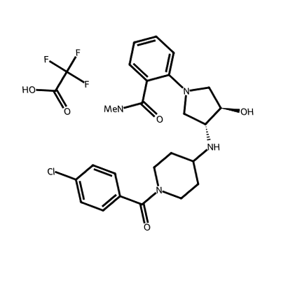 CNC(=O)c1ccccc1N1C[C@@H](O)[C@H](NC2CCN(C(=O)c3ccc(Cl)cc3)CC2)C1.O=C(O)C(F)(F)F